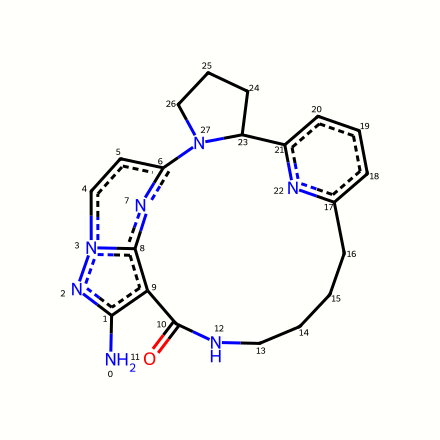 Nc1nn2ccc3nc2c1C(=O)NCCCCc1cccc(n1)C1CCCN31